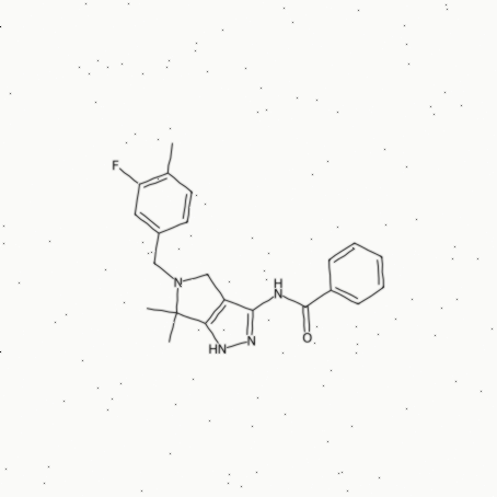 Cc1ccc(CN2Cc3c(NC(=O)c4ccccc4)n[nH]c3C2(C)C)cc1F